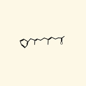 CC(=O)CC/C=C(\C)CC/C=C(\C)Cc1ccccc1